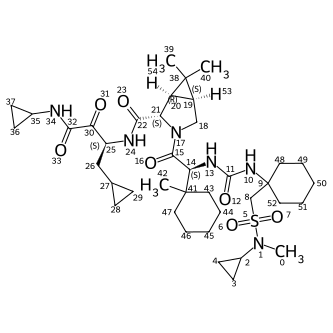 CN(C1CC1)S(=O)(=O)CC1(NC(=O)N[C@H](C(=O)N2C[C@H]3[C@@H]([C@H]2C(=O)N[C@@H](CC2CC2)C(=O)C(=O)NC2CC2)C3(C)C)C2(C)CCCCC2)CCCCC1